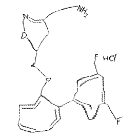 Cl.NCC1=NOC(COc2ccccc2-c2cc(F)cc(F)c2)C1